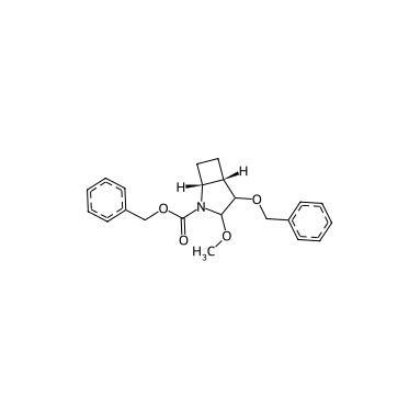 COC1C(OCc2ccccc2)[C@H]2CC[C@H]2N1C(=O)OCc1ccccc1